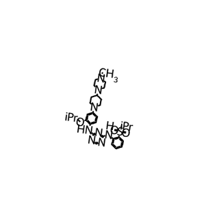 CC(C)Oc1cc(N2CCC(N3CCN(C)CC3)CC2)ccc1Nc1ncnc(Nc2ccccc2S(=O)(=O)C(C)C)n1